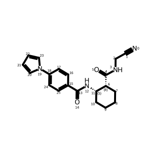 N#CCNC(=O)[C@@H]1CCCC[C@@H]1NC(=O)c1ccc(-n2cccc2)cc1